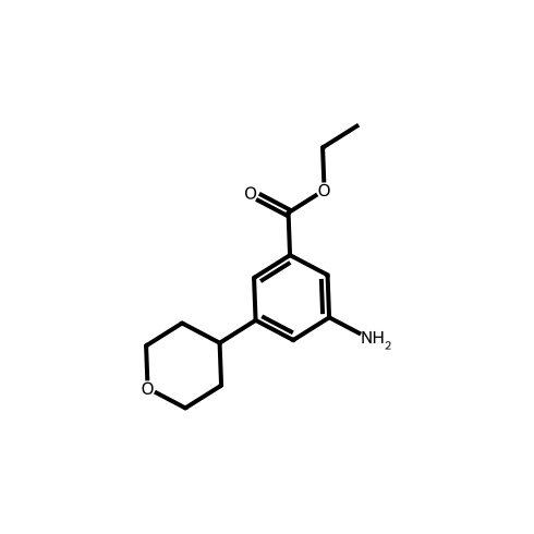 CCOC(=O)c1cc(N)cc(C2CCOCC2)c1